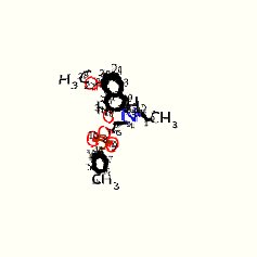 CCCN1C[C@@H](COS(=O)(=O)c2ccc(C)cc2)O[C@@H]2Cc3c(cccc3OC)C[C@H]21